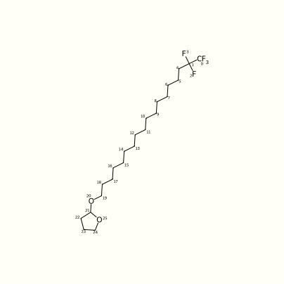 FC(F)(F)C(F)(F)CCCCCCCCCCCCCCCCOC1CCCO1